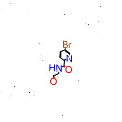 O=CCNC(=O)c1ccc(Br)cn1